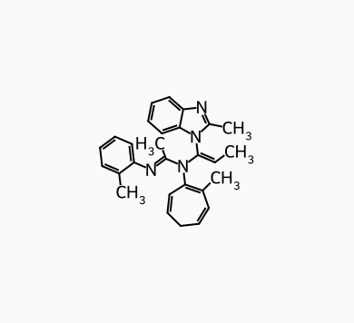 C/C=C(/N(C1=C(C)C=CCC=C1)/C(C)=N/c1ccccc1C)n1c(C)nc2ccccc21